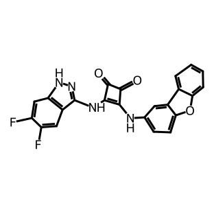 O=c1c(Nc2ccc3oc4ccccc4c3c2)c(Nc2n[nH]c3cc(F)c(F)cc23)c1=O